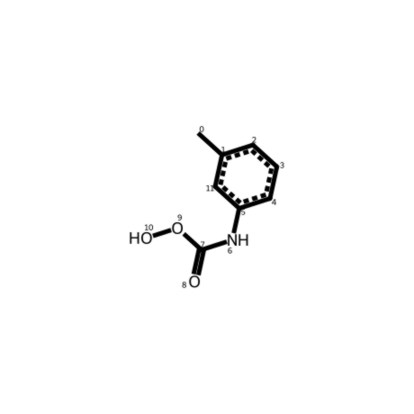 Cc1cccc(NC(=O)OO)c1